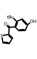 CC(C)(C)c1cc(O)ccc1C(=O)c1cccs1